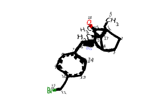 CC12CCC(/C(=C\c3ccc(CBr)cc3)C1=O)C2(C)C